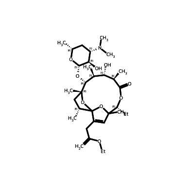 C=C(CC1=CC2(C)OC13O[C@](C)(C[C@H]3C)[C@H](O[C@@H]1O[C@H](C)C[C@H](N(C)C)[C@H]1O)[C@@H](C)[C@H](O)[C@@H](C)C(=O)O[C@@H]2CC)OCC